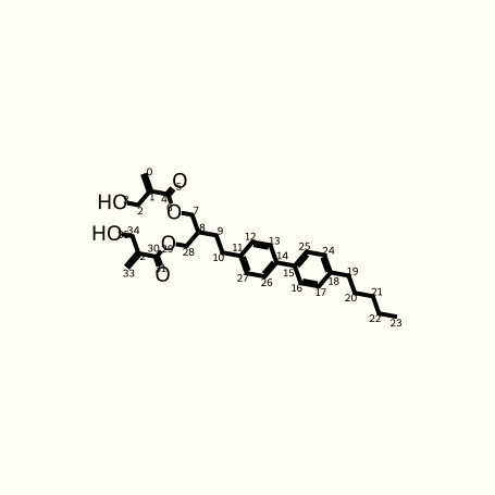 C=C(CO)C(=O)OCC(CCc1ccc(-c2ccc(CCCCC)cc2)cc1)COC(=O)C(=C)CO